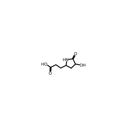 O=C(O)CCC1CC(O)C(=O)N1